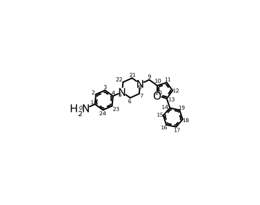 Nc1ccc(N2CCN(Cc3ccc(-c4ccccc4)o3)CC2)cc1